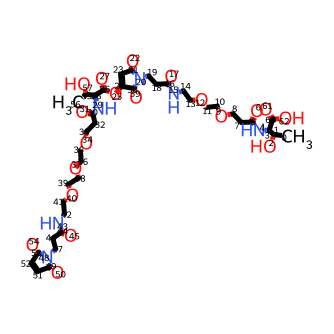 CC(O)C(NC(=O)CCOCCOCCNC(=O)CCN1C(=O)C=C(OC(=O)C(NC(=O)CCOCCOCCOCCNC(=O)CCN2C(=O)C=CC2=O)C(C)O)C1=O)C(=O)O